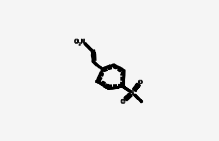 CS(=O)(=O)c1ccc(C=C[N+](=O)[O-])cc1